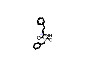 O=C1N/C(=C\Cc2ccccc2)C(=O)N1Cc1ccccc1